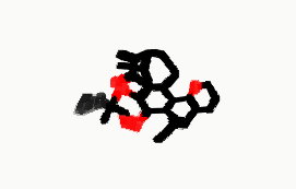 C=C1C(=O)C23C(C)C1CCC2C1C2=C(CCCO2)CC(C)C1C(O)C3OC(C)(C)OC